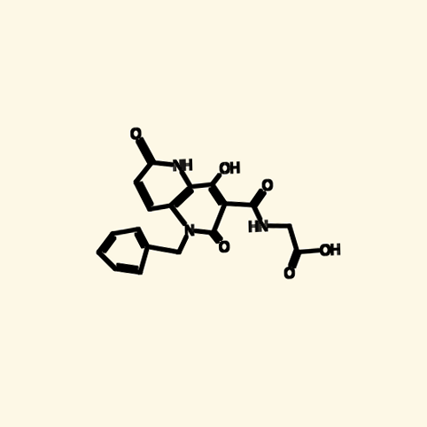 O=C(O)CNC(=O)c1c(O)c2[nH]c(=O)ccc2n(Cc2ccccc2)c1=O